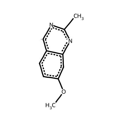 COc1ccc2[c]nc(C)nc2c1